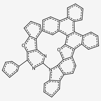 c1ccc(-c2nc(-n3c4ccccc4c4ccc5c(oc6c5c5ccccc5c5c7ccccc7c7ccccc7c65)c43)nc3c2oc2ccccc23)cc1